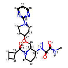 CN(C)C(=O)C(=O)N[C@H]1CCCN(C(=O)C2CCC2)[C@H]1COC1CCN(c2ncccn2)CC1